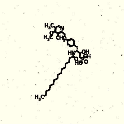 CCCCCCCCCCCCCCCC(=O)N[C@H](Cc1ccc(OCc2ncc(C)c(OC)c2C)cc1)[C@@H](O)CP(=O)(O)O